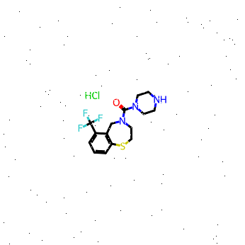 Cl.O=C(N1CCNCC1)N1CCSc2cccc(C(F)(F)F)c2C1